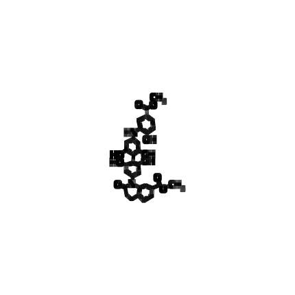 COC(=O)c1ccc(O)c(Nc2cc(O)c(-c3c(O)cc(N4C(=O)CCc5ccc(C(=O)OC)cc54)cc3O)c(O)c2)c1